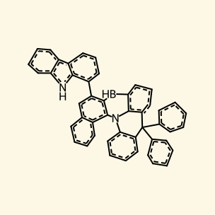 B1c2cccc3c2N(c2ccccc2C3(c2ccccc2)c2ccccc2)c2c1c(-c1cccc3c1[nH]c1ccccc13)cc1ccccc21